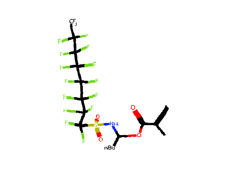 C=C(C)C(=O)OC(CCCC)NS(=O)(=O)C(F)(F)C(F)(F)C(F)(F)C(F)(F)C(F)(F)C(F)(F)C(F)(F)C(F)(F)F